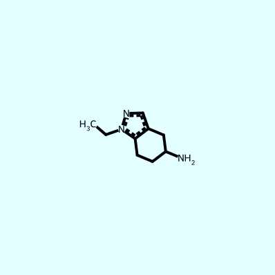 CCn1ncc2c1CCC(N)C2